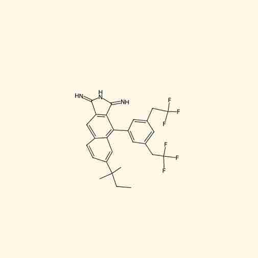 CCC(C)(C)c1ccc2cc3c(c(-c4cc(CC(F)(F)F)cc(CC(F)(F)F)c4)c2c1)C(=N)NC3=N